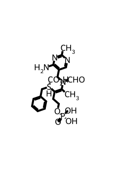 C/C(=C(\CCOP(=O)(O)O)[SH](Cc1ccccc1)C(=O)O)N(C=O)Cc1cnc(C)nc1N